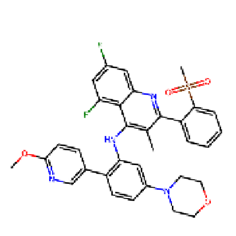 COc1ccc(-c2ccc(N3CCOCC3)cc2Nc2c(C)c(-c3ccccc3S(C)(=O)=O)nc3cc(F)cc(F)c23)cn1